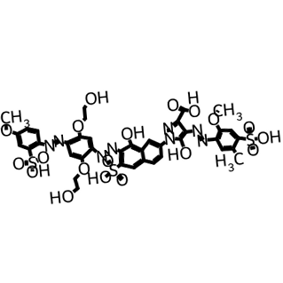 COc1ccc(/N=N/c2cc(OCCO)c(/N=N/c3c(S(=O)(=O)O)cc4ccc(-n5nc(C(=O)O)c(N=Nc6cc(C)c(S(=O)(=O)O)cc6OC)c5O)cc4c3O)cc2OCCO)c(S(=O)(=O)O)c1